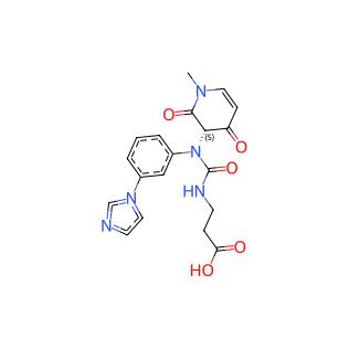 CN1C=CC(=O)[C@H](N(C(=O)NCCC(=O)O)c2cccc(-n3ccnc3)c2)C1=O